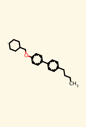 CCCCc1ccc(-c2ccc(OCC3CC[CH]CC3)cc2)cc1